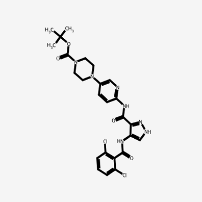 CC(C)(C)OC(=O)N1CCN(c2ccc(NC(=O)c3n[nH]cc3NC(=O)c3c(Cl)cccc3Cl)nc2)CC1